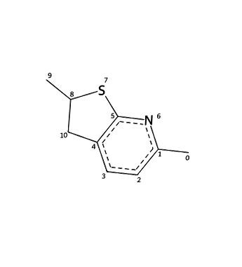 Cc1ccc2c(n1)SC(C)C2